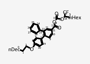 CCCCCCCCCCCCOc1ccc(-c2ccc(C(=O)OC(=O)OC(CCCCCC)C(F)(F)F)cc2-c2ccccc2)cc1